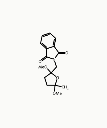 COC1(C)CCC(CN2C(=O)c3ccccc3C2=O)(OC)O1